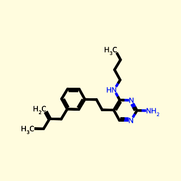 C=C(CC)Cc1cccc(CCc2cnc(N)nc2NCCCC)c1